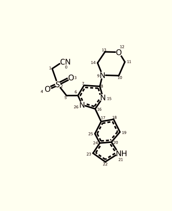 N#CCS(=O)(=O)Cc1cc(N2CCOCC2)nc(-c2ccc3[nH]ccc3c2)n1